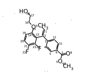 CC=C(c1ccc(C(=O)OC)cc1)c1c(OCCO)ccc(F)c1F